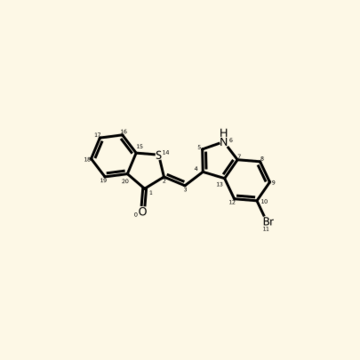 O=C1C(=Cc2c[nH]c3ccc(Br)cc23)Sc2ccccc21